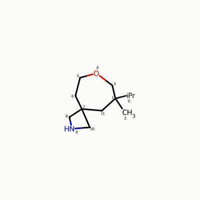 CC(C)C1(C)COCCC2(CNC2)C1